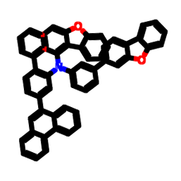 c1ccc(-c2ccc(-c3cc4ccccc4c4ccccc34)cc2N(c2cccc(-c3ccc4c(c3)oc3ccccc34)c2)c2cccc3oc4ccccc4c23)cc1